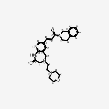 O=C1CN(CCN2CCOCC2)Cc2cc(C=CC(=O)N3CCc4ccccc4C3)cnc2N1